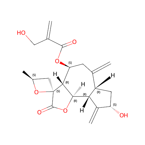 C=C(CO)C(=O)O[C@H]1CC(=C)[C@@H]2C[C@H](O)C(=C)[C@@H]2[C@H]2OC(=O)[C@]3(C[C@H](C)O3)[C@@H]21